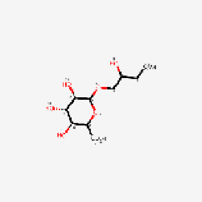 COCC(O)COC1OC(C(=O)O)[C@@H](O)[C@H](O)[C@H]1O